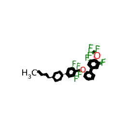 CCCCC[C@H]1CC[C@H](c2cc(F)c(C(F)(F)Oc3ccccc3-c3cc(F)c(OC(F)(F)F)c(F)c3)c(F)c2)CC1